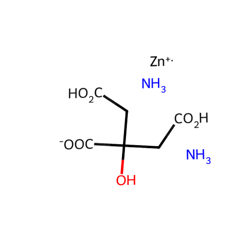 N.N.O=C(O)CC(O)(CC(=O)O)C(=O)[O-].[Zn+]